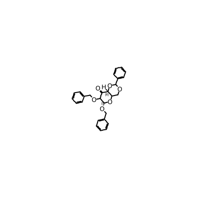 O=C1C(OCc2ccccc2)[C@@H](OCc2ccccc2)OC2COC(c3ccccc3)O[C@@H]12